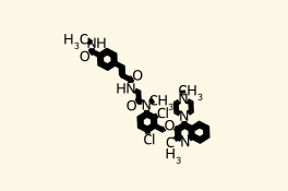 CNC(=O)c1ccc(C=CC(=O)NCC(=O)N(C)c2ccc(Cl)c(COc3c(C)nc4ccccc4c3N3CCN(C)CC3)c2Cl)cc1